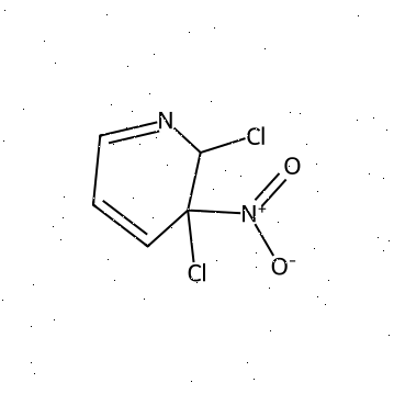 O=[N+]([O-])C1(Cl)C=CC=NC1Cl